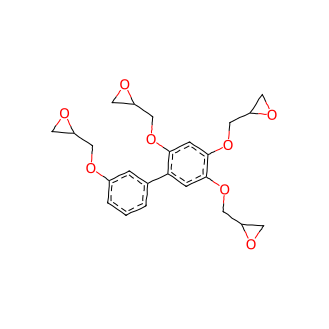 c1cc(OCC2CO2)cc(-c2cc(OCC3CO3)c(OCC3CO3)cc2OCC2CO2)c1